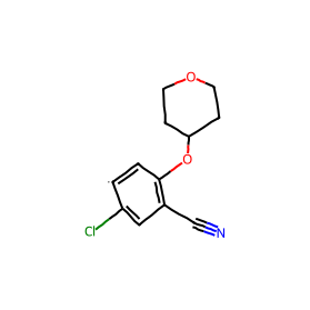 N#Cc1cc(Cl)[c]cc1OC1CCOCC1